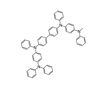 CN(c1ccccc1)c1ccc(N(c2ccccc2)c2ccc(-c3ccc(N(c4ccccc4)c4ccc(N(c5ccccc5)c5ccccc5)cc4)cc3)cc2)cc1